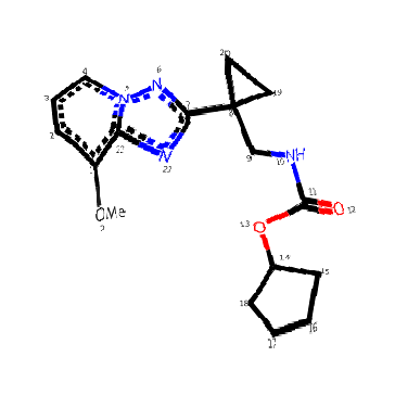 COc1cccn2nc(C3(CNC(=O)OC4CCCC4)CC3)nc12